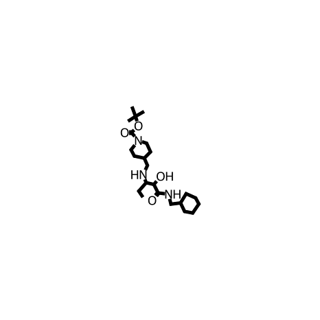 CCC(NCC1CCN(C(=O)OC(C)(C)C)CC1)C(O)C(=O)NCC1CCCCC1